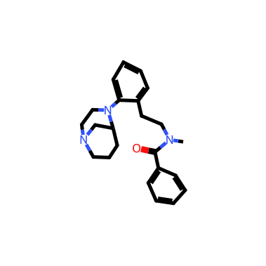 CN(CCc1ccccc1N1CCN2CCCC1C2)C(=O)c1ccccc1